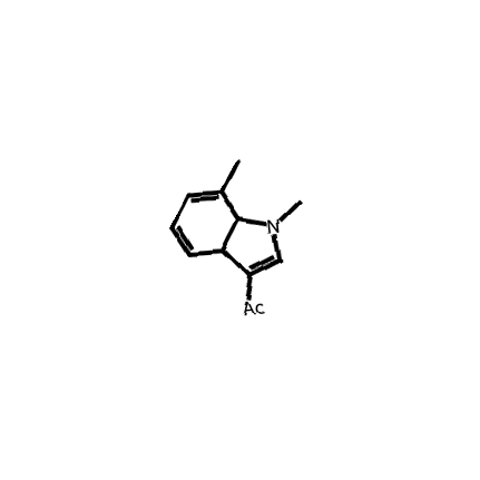 CC(=O)C1=CN(C)C2C(C)=CC=CC12